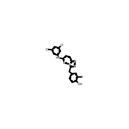 Oc1ccc(Cc2nnc3ccc(Nc4cc(Cl)cc(Cl)c4)nn23)cc1F